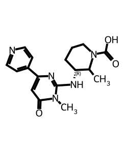 CC1[C@H](Nc2nc(-c3ccncc3)cc(=O)n2C)CCCN1C(=O)O